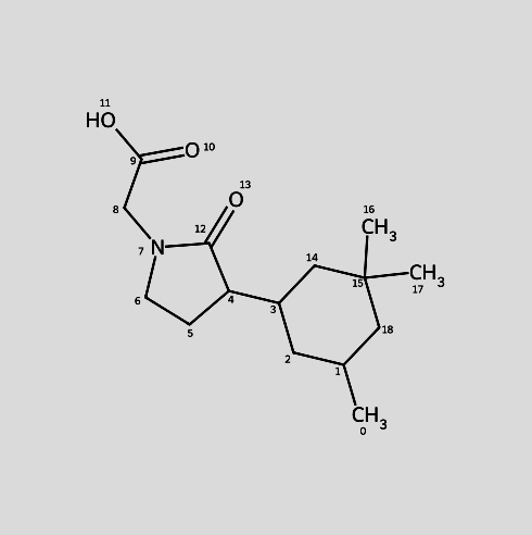 CC1CC(C2CCN(CC(=O)O)C2=O)CC(C)(C)C1